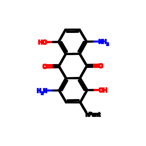 CCCCCc1cc(N)c2c(c1O)C(=O)c1c(N)ccc(O)c1C2=O